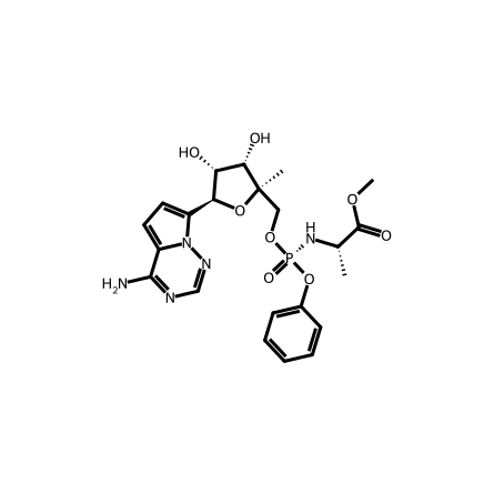 COC(=O)[C@H](C)N[P@](=O)(OC[C@@]1(C)O[C@@H](c2ccc3c(N)ncnn23)[C@H](O)[C@@H]1O)Oc1ccccc1